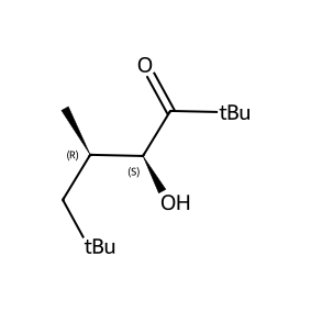 C[C@H](CC(C)(C)C)[C@H](O)C(=O)C(C)(C)C